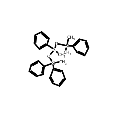 C[Si](C)(O[Si](C)(O[Si](C)(c1ccccc1)c1ccccc1)c1ccccc1)c1ccccc1